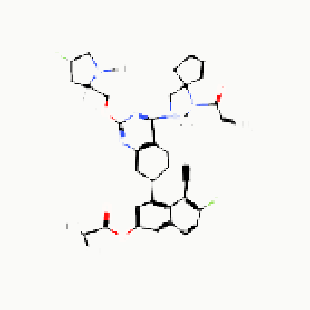 C#Cc1c(F)ccc2cc(OC(=O)C(C)C)cc([C@@H]3CCc4c(nc(OC[C@]5(C)C[C@@H](F)CN5C)nc4NCC4(N(C)C(=O)C=C)CCCC4)C3)c12